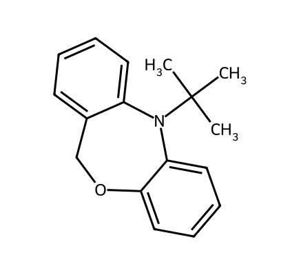 CC(C)(C)N1c2ccccc2COc2ccccc21